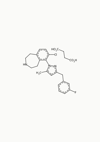 Cc1cc(Cc2cccc(F)c2)nn1-c1c(Cl)ccc2c1CCNCC2.O=C(O)CCC(=O)O